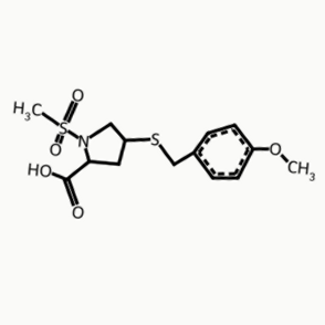 COc1ccc(CSC2CC(C(=O)O)N(S(C)(=O)=O)C2)cc1